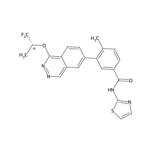 Cc1ccc(C(=O)Nc2nccs2)cc1-c1ccc2c(O[C@H](C)C(F)(F)F)nncc2c1